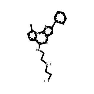 Cc1cnc2c(NCCNCCO)nc3cc(-c4ccccc4)sc3n12